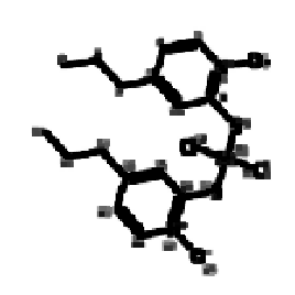 CCCc1cc[n+]([O-])c([S][Sn]([Cl])([Cl])[S]c2cc(CCC)cc[n+]2[O-])c1